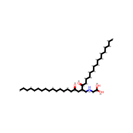 CCCCCCCCCCCCCCCC(=O)CC(CNCC(O)O)C(=O)CCCCCCCCCCCCCCC